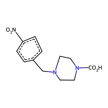 O=C(O)N1CCN(Cc2ccc([N+](=O)[O-])cc2)CC1